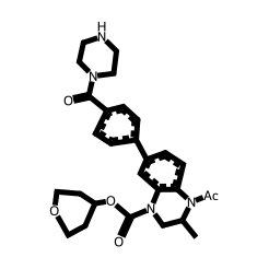 CC(=O)N1c2ccc(-c3ccc(C(=O)N4CCNCC4)cc3)cc2N(C(=O)OC2CCOCC2)CC1C